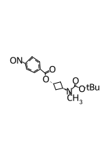 CN(C(=O)OC(C)(C)C)[C@H]1C[C@H](OC(=O)c2ccc(N=O)cc2)C1